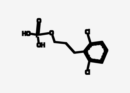 O=P(O)(O)OCCCc1c(Cl)cccc1Cl